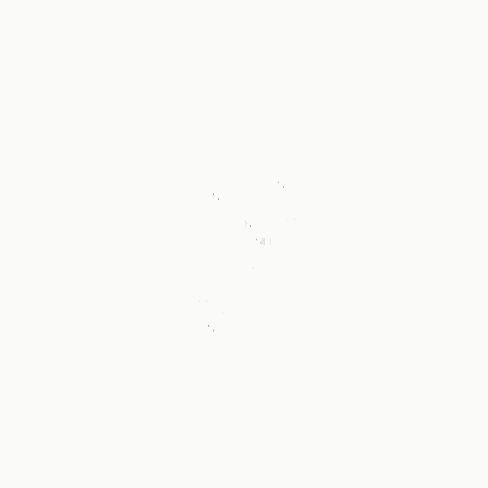 NS(=O)(=O)c1ccc(N/N=C2\C(=O)Nc3ccc4cccnc4c32)cc1